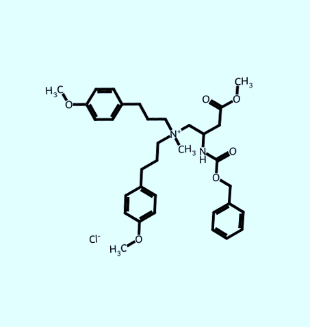 COC(=O)CC(C[N+](C)(CCCc1ccc(OC)cc1)CCCc1ccc(OC)cc1)NC(=O)OCc1ccccc1.[Cl-]